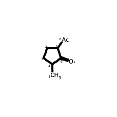 CC(=O)C1CCC(C)C1=O